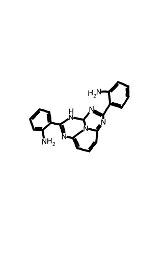 Nc1ccccc1C1=NC2NC(c3ccccc3N)=NC3=CC=CC(=N1)N32